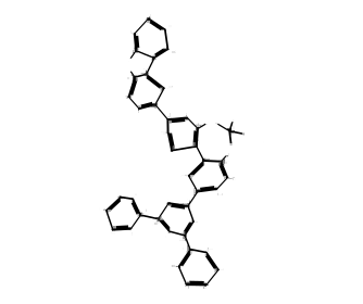 CC1(C)Oc2cc(-c3ccc4oc5ccccc5c4c3)ccc2-c2cc(-c3cc(-c4ccccc4)cc(-c4ccccc4)c3)ccc2O1